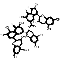 O=C(O[C@@H]1Cc2c(O)cc(O)cc2O[C@@H]1c1cc(O)c(=O)c2c(O)c(O)cc(C3Oc4cc(O)cc(O)c4C[C@H]3O)c2c1)c1cc(O)c(=O)c2c(O)c(O)cc([C@H]3Oc4cc(O)cc(O)c4C[C@H]3O)c2c1